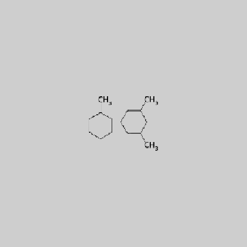 CC1CCCC(C)C1.CC1CCCCC1